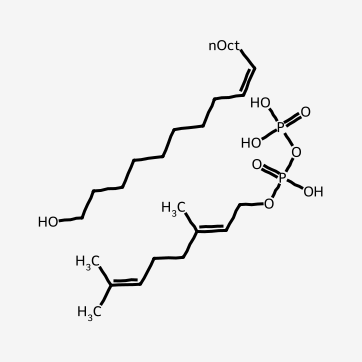 CC(C)=CCC/C(C)=C/COP(=O)(O)OP(=O)(O)O.CCCCCCCC/C=C\CCCCCCCCO